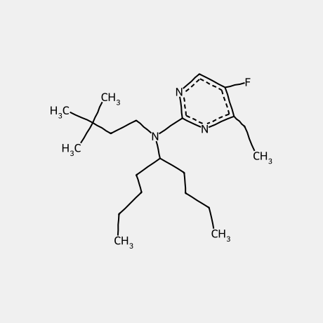 CCCCC(CCCC)N(CCC(C)(C)C)c1ncc(F)c(CC)n1